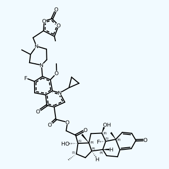 COc1c(N2CCN(Cc3oc(=O)oc3C)C(C)C2)c(F)cc2c(=O)c(C(=O)OCC(=O)[C@]3(O)[C@@H](C)C[C@@H]4[C@H]5CCC6=CC(=O)C=C[C@@]6(C)[C@]5(F)[C@H](O)C[C@]43C)cn(C3CC3)c12